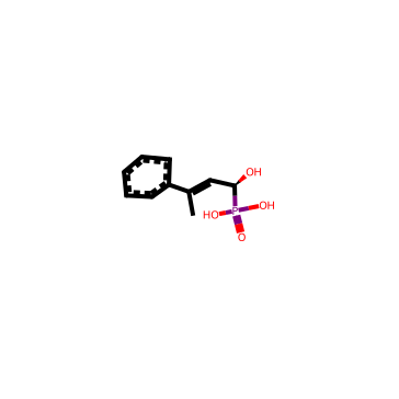 CC(=C[C@@H](O)P(=O)(O)O)c1ccccc1